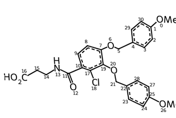 COc1ccc(COc2ccc(C(=O)NCCC(=O)O)c(Cl)c2OCc2ccc(OC)cc2)cc1